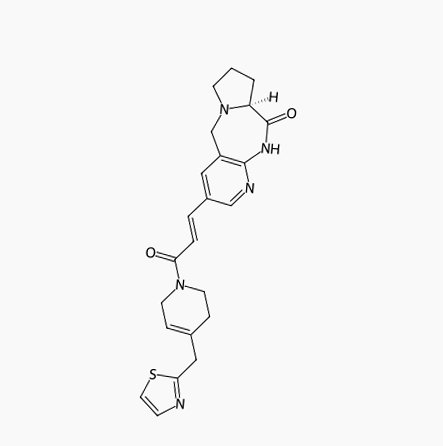 O=C1Nc2ncc(/C=C/C(=O)N3CC=C(Cc4nccs4)CC3)cc2CN2CCC[C@@H]12